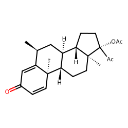 CC(=O)O[C@@]1(C(C)=O)CC[C@H]2[C@@H]3C[C@H](C)C4=CC(=O)C=C[C@]4(C)[C@H]3CC[C@@]21C